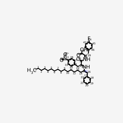 CCCCCCCCCCCCCCC/C(=C\c1ccccc1)N[C@@H](Cc1ccc([N+](=O)[O-])cc1)C(=O)N[C@@H](Cc1ccc(F)cc1)C(=O)O